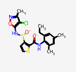 CCc1cc(C)cc(C)c1NC(=O)c1sccc1[S+]([O-])Nc1onc(C)c1Cl